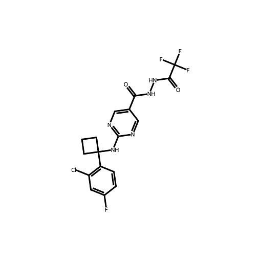 O=C(NNC(=O)C(F)(F)F)c1cnc(NC2(c3ccc(F)cc3Cl)CCC2)nc1